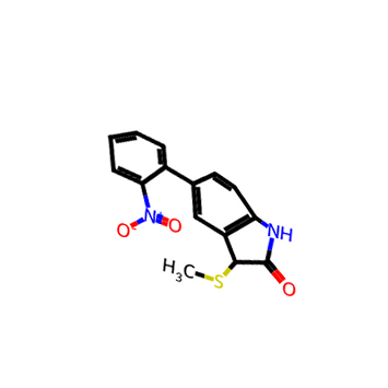 CSC1C(=O)Nc2ccc(-c3ccccc3[N+](=O)[O-])cc21